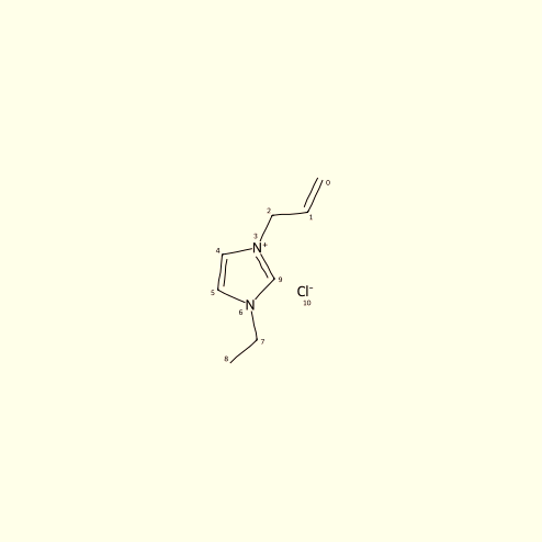 C=CC[n+]1ccn(CC)c1.[Cl-]